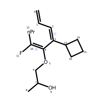 C=C/C=C(\C(OCC(C)O)=C(\F)CCC)C1CCC1